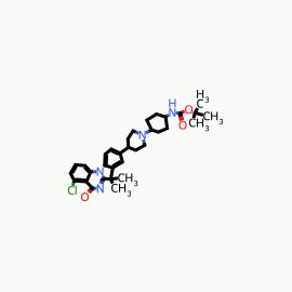 CC(C)(C)OC(=O)NC1CCC(N2CCC(c3ccc4c(c3)C(C)(C)c3nc(=O)c5c(Cl)cccc5n3-4)CC2)CC1